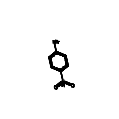 CCCc1ccc([SH](=O)=O)cc1